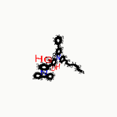 Bc1c(N(c2ccc(C/C=C\C=C/C=C)cc2)c2ccc(-c3ccccc3)cc2)cc(O)c(-c2cccc(-n3c4ccccc4c4ccccc43)c2)c1O